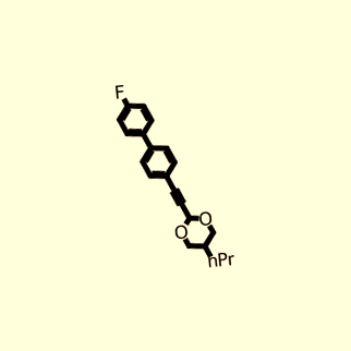 CCCC1COC(C#Cc2ccc(-c3ccc(F)cc3)cc2)OC1